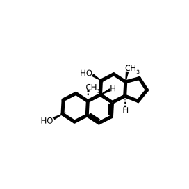 C[C@@]12CCC[C@H]1C1=CC=C3C[C@@H](O)CC[C@@]3(C)[C@@H]1[C@@H](O)C2